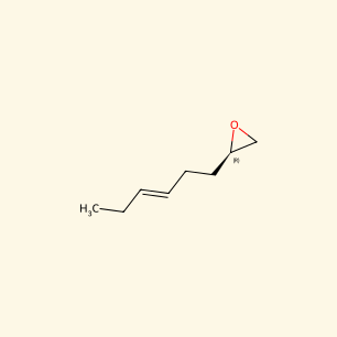 CCC=CCC[C@@H]1CO1